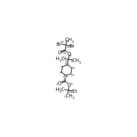 CCC(C)(C)OC(=O)N1CCC(C(C)(C)OC(=O)C(C)(Br)Br)CC1